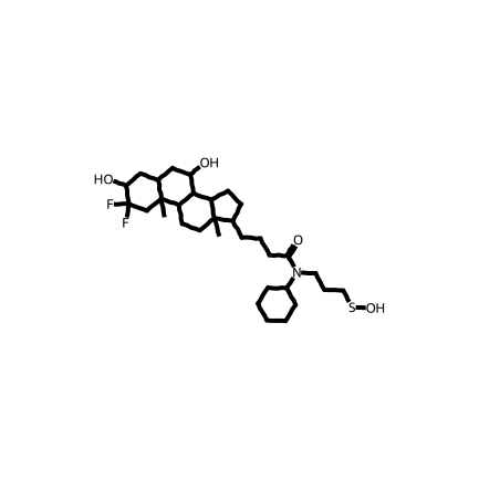 CC12CCC3C(C(O)CC4CC(O)C(F)(F)CC43C)C1CCC2CCCC(=O)N(CCCSO)C1CCCCC1